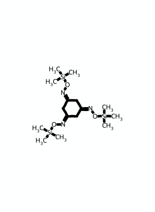 C[Si](C)(C)ON=C1CC(=NO[Si](C)(C)C)CC(=NO[Si](C)(C)C)C1